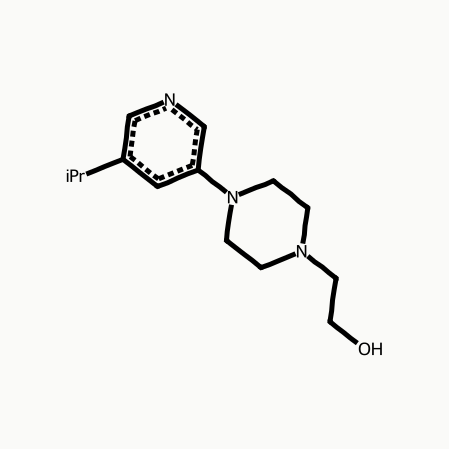 CC(C)c1cncc(N2CCN(CCO)CC2)c1